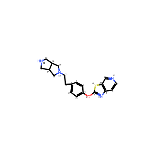 c1cc2nc(Oc3ccc(CCN4CC5CNCC5C4)cc3)sc2cn1